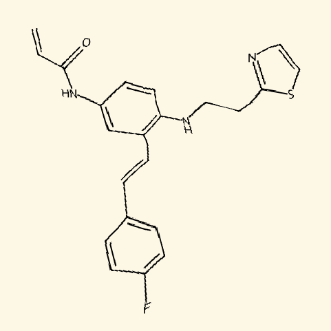 C=CC(=O)Nc1ccc(NCCc2nccs2)c(C=Cc2ccc(F)cc2)c1